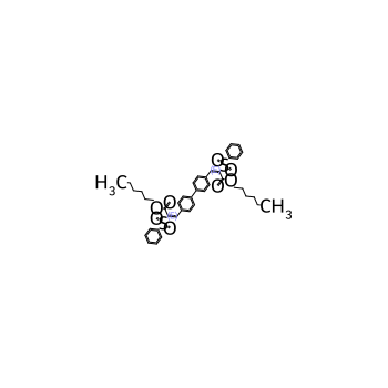 CCCCCCOC(=O)/C(=C\c1ccc(-c2ccc(/C=C(\C(=O)OCCCCCC)S(=O)(=O)c3ccccc3)cc2)cc1)S(=O)(=O)c1ccccc1